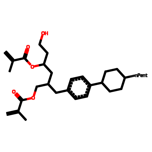 C=C(C)C(=O)OCC(Cc1ccc(C2CCC(CCCCC)CC2)cc1)CC(CCO)OC(=O)C(=C)C